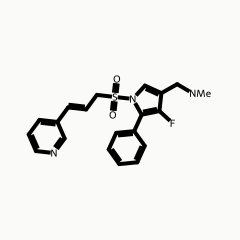 CNCc1cn(S(=O)(=O)CC=Cc2cccnc2)c(-c2ccccc2)c1F